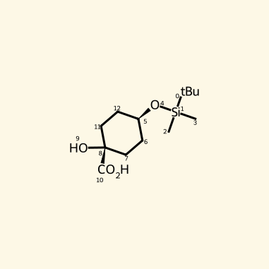 CC(C)(C)[Si](C)(C)O[C@H]1CC[C@@](O)(C(=O)O)CC1